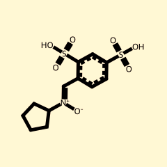 O=S(=O)(O)c1ccc(C=[N+]([O-])C2CCCC2)c(S(=O)(=O)O)c1